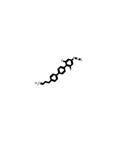 C=CCCc1ccc(-c2ccc(-c3c(F)cc(N=C=S)cc3F)cc2)cc1